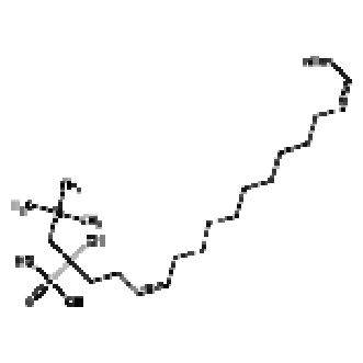 CCCCCC/C=C\CCCCCCCCC/C=C\CCC(O)(C[N+](C)(C)C)P(=O)(O)O